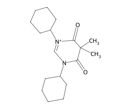 CC1(C)C(=O)N(C2CCCCC2)C=[N+](C2CCCCC2)C1=O